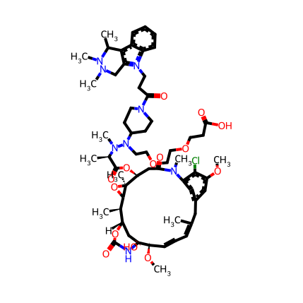 COc1cc2cc(c1Cl)N(C)C(=O)C[C@H](OC(=O)[C@@H](C)N(C)N(CCOCCOCCC(=O)O)C1CCN(C(=O)CCn3c4c(c5ccccc53)C(C)N(C)N(C)C4)CC1)[C@]1(C)OC1[C@H](C)[C@@H]1C[C@@](O)(NC(=O)O1)[C@H](OC)/C=C/C=C(\C)C2